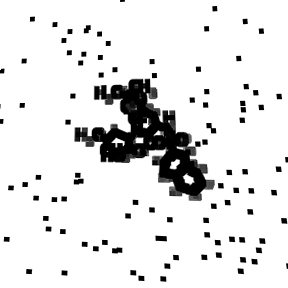 CC(C)CC(NC(=O)C(CC(=O)OC(C)(C)C)NS(=O)(=O)c1ccc2ccccc2c1)C(=O)O